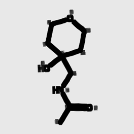 CC(=O)NCC1(O)CCOCC1